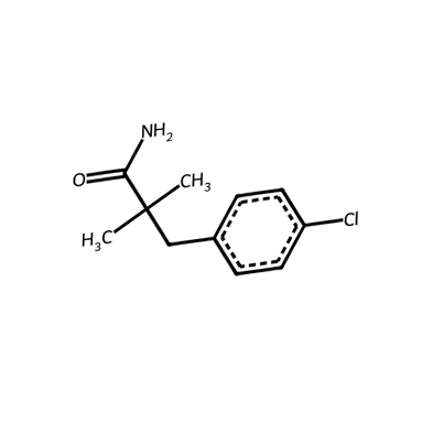 CC(C)(Cc1ccc(Cl)cc1)C(N)=O